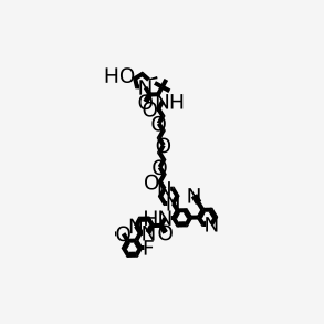 COc1cccc(F)c1-c1nccc(C(=O)Nc2ccc(-c3cnccc3C#N)cc2N2CCN(C(=O)COCCOCCOCC(=O)N[C@H](C(=O)N3C[C@H](O)C[C@H]3C)C(C)(C)C)CC2)n1